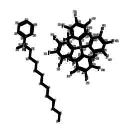 CCCCCCCCCCCC[NH+](C)c1ccccc1.Fc1c(F)c(F)c([B-](c2c(F)c(F)c(F)c(F)c2F)(c2c(F)c(F)c(F)c(F)c2F)c2c(F)c(F)c(F)c(F)c2F)c(F)c1F